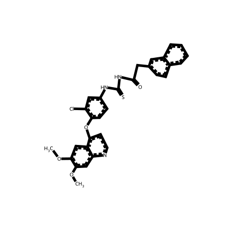 COc1cc2nccc(Oc3ccc(NC(=S)NC(=O)Cc4ccc5ccccc5c4)cc3Cl)c2cc1OC